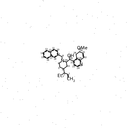 C=CC(CC)C1CCN(Cc2ccc3ccccc3c2)C(C(O)c2ccnc3c2C[C@H](OC)C=C3)C1